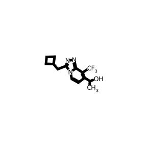 CC(O)c1ccn2c(CC3CCC3)nnc2c1C(F)(F)F